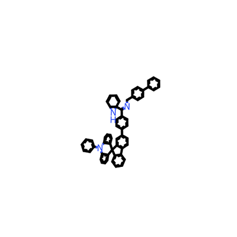 C1=CC2NC2(/C(=N\Cc2ccc(-c3ccccc3)cc2)c2ccc(-c3ccc4c(c3)C3(c5ccccc5-4)c4ccccc4N(c4ccccc4)c4ccccc43)cc2)C=C1